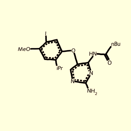 CCCCC(=O)Nc1nc(N)ncc1Oc1cc(I)c(OC)cc1C(C)C